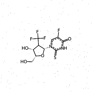 O=c1[nH]c(=S)n([C@@H]2O[C@H](CO)[C@H](O)C2C(F)(F)F)cc1F